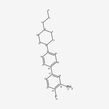 CCCC1CCC(c2ccc(-c3ccc(F)c(P)c3)cc2)CC1